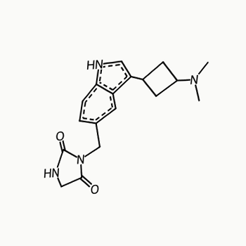 CN(C)C1CC(c2c[nH]c3ccc(CN4C(=O)CNC4=O)cc23)C1